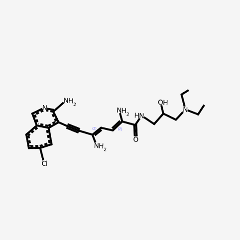 CCN(CC)CC(O)CNC(=O)/C(N)=C/C=C(\N)C#Cc1c(N)ncc2ccc(Cl)cc12